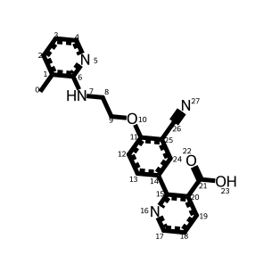 Cc1cccnc1NCCOc1ccc(-c2ncccc2C(=O)O)cc1C#N